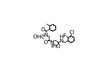 Cc1ccccc1C(=O)N(C=O)CC(=O)N(CC(=O)NCc1cccc(Cl)c1F)C(C)C